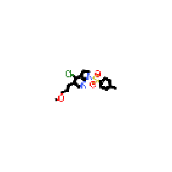 COC/C=C/c1cnc2c(ccn2S(=O)(=O)c2ccc(C)cc2)c1Cl